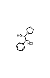 CC(c1ccccc1)C(O)N1CCCC1.Cl